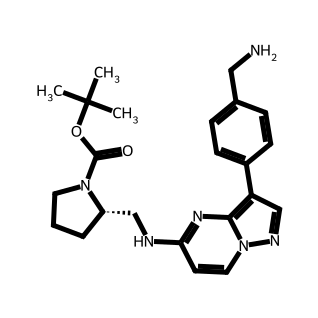 CC(C)(C)OC(=O)N1CCC[C@H]1CNc1ccn2ncc(-c3ccc(CN)cc3)c2n1